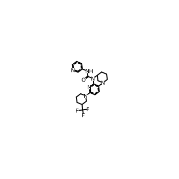 O=C(Nc1cccnc1)N1c2nc(N3CCCC(C(F)(F)F)C3)ccc2N2CCCC1C2